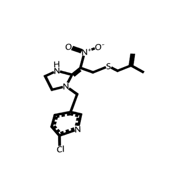 C=C(C)CSCC(=C1NCCN1Cc1ccc(Cl)nc1)[N+](=O)[O-]